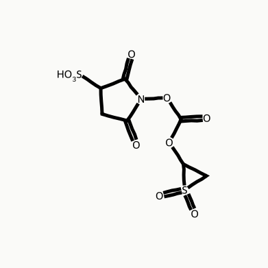 O=C(OC1CS1(=O)=O)ON1C(=O)CC(S(=O)(=O)O)C1=O